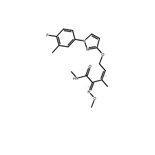 CNC(=O)C(=N/OC)/C(C)=C\COc1ccn(-c2ccc(F)c(C)c2)n1